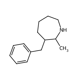 CC1NCCCCC1Cc1ccccc1